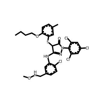 CCCCOc1ccc(C)cc1SC1C(=O)N(c2c(Cl)cc(Cl)cc2Cl)N=C1Nc1cc(CNOC)ccc1Cl